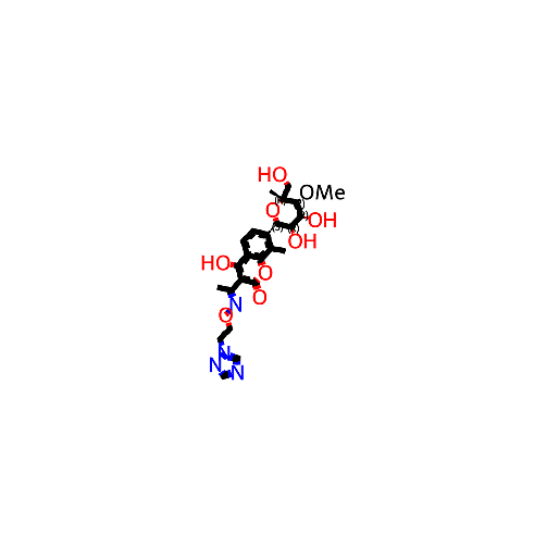 CO[C@@H]1[C@H](O)[C@@H](O)[C@H](c2ccc3c(O)c(C(C)=NOCCn4cncn4)c(=O)oc3c2C)O[C@]1(C)CO